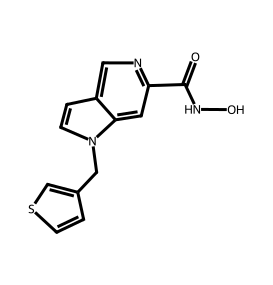 O=C(NO)c1cc2c(ccn2Cc2ccsc2)cn1